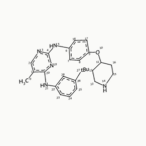 Cc1cnc(Nc2ccc(OC3CCNCC3)cc2)nc1Nc1cccc(C(C)(C)C)c1